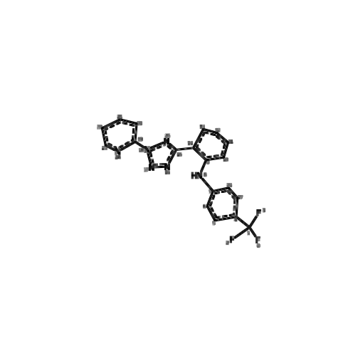 FC(F)(F)c1ccc(Nc2ccccc2-c2nnn(-c3ccccn3)n2)cc1